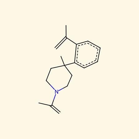 C=C(C)c1ccccc1C1(C)CCN(C(=C)C)CC1